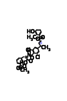 COP(=O)(/C=C/C(C)c1cc(Cl)c(C(=O)N[C@@H](Cc2cccc(S(C)(=O)=O)c2)C(=O)O)c(Cl)c1)c1cccc(O)c1